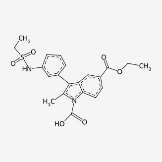 CCOC(=O)c1ccc2c(c1)c(-c1cccc(NS(=O)(=O)CC)c1)c(C)n2C(=O)O